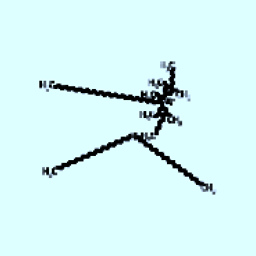 CCCCCCCCCCCCCCCCCCCCCCCCCCCCC=CC1=C(c2cc(CC)c(CCCCCC)c(CC)c2)[N+](=[N-])C(c2cc(CC)c(CCCCCC)c(CC)c2)=C1CC.CCCCCCCCCCCCCCCCCCCCCCC[CH2][Ni][CH2]CCCCCCCCCCCCCCCCCCCCCCC